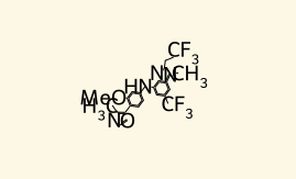 COc1cc(Nc2cc(C(F)(F)F)cc3c2nc(CCC(F)(F)F)n3C)ccc1-c1ocnc1C